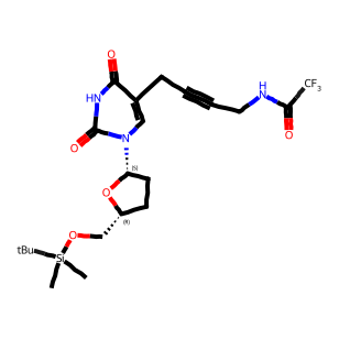 CC(C)(C)[Si](C)(C)OC[C@H]1CC[C@@H](n2cc(CC#CCNC(=O)C(F)(F)F)c(=O)[nH]c2=O)O1